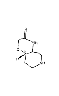 O=C1CO[C@H]2CCNCC2N1